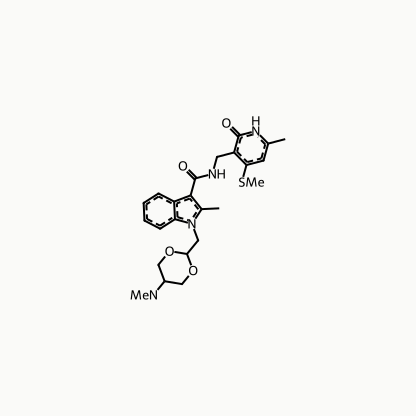 CNC1COC(Cn2c(C)c(C(=O)NCc3c(SC)cc(C)[nH]c3=O)c3ccccc32)OC1